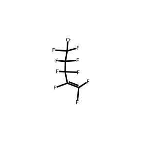 [O]C(F)(F)C(F)(F)C(F)(F)C(F)=C(F)F